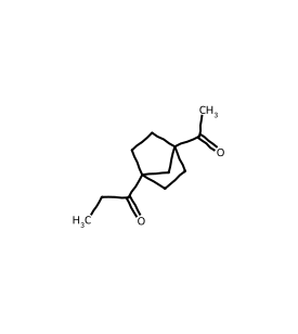 CCC(=O)C12CCC(C(C)=O)(CC1)C2